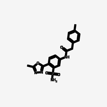 Cc1ccc(CC(=O)Nc2ccc(-c3nnc(C)o3)c(S(N)(=O)=O)c2)cc1